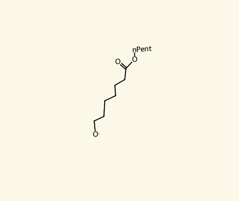 CCCCCOC(=O)CCCCCC[O]